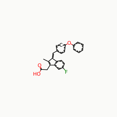 CC1=C(CC(=O)O)c2cc(F)ccc2/C1=C\c1ccc(Oc2ccccc2)cc1